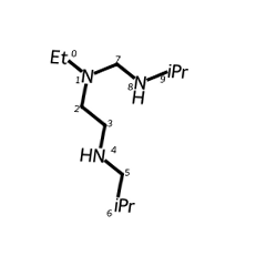 CCN(CCNCC(C)C)CNC(C)C